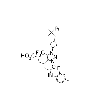 Cc1ccc(NC(=O)C[C@H](CCC(=O)O)c2nnn([C@H]3C[C@@H](CC(C)(C)C(C)C)C3)c2C(F)(F)F)c(F)c1